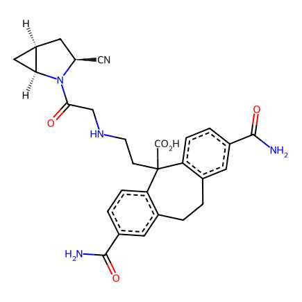 N#C[C@@H]1C[C@@H]2C[C@@H]2N1C(=O)CNCCC1(C(=O)O)c2ccc(C(N)=O)cc2CCc2cc(C(N)=O)ccc21